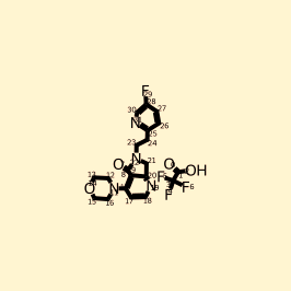 O=C(O)C(F)(F)F.O=C1c2c(N3CCOCC3)ccnc2CN1CCc1ccc(F)cn1